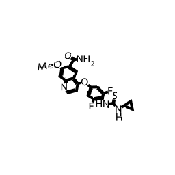 COc1cc2nccc(Oc3cc(F)c(NC(=S)NC4CC4)c(F)c3)c2cc1C(N)=O